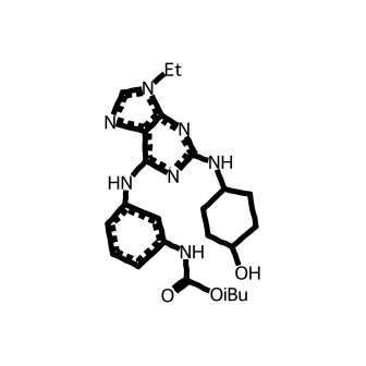 CCn1cnc2c(Nc3cccc(NC(=O)OCC(C)C)c3)nc(NC3CCC(O)CC3)nc21